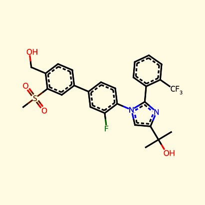 CC(C)(O)c1cn(-c2ccc(-c3ccc(CO)c(S(C)(=O)=O)c3)cc2F)c(-c2ccccc2C(F)(F)F)n1